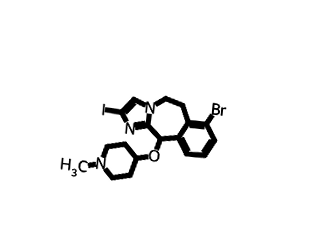 CN1CCC(OC2c3cccc(Br)c3CCn3cc(I)nc32)CC1